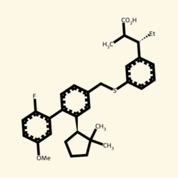 CC[C@H](c1cccc(SCc2ccc(-c3cc(OC)ccc3F)c([C@@H]3CCCC3(C)C)c2)c1)C(C)C(=O)O